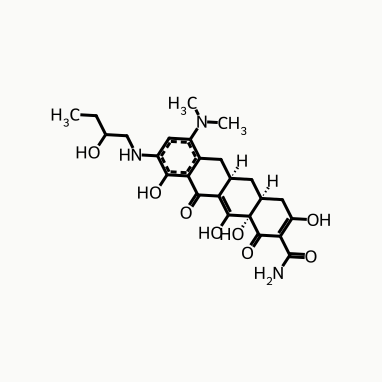 CCC(O)CNc1cc(N(C)C)c2c(c1O)C(=O)C1=C(O)[C@]3(O)C(=O)C(C(N)=O)=C(O)C[C@@H]3C[C@@H]1C2